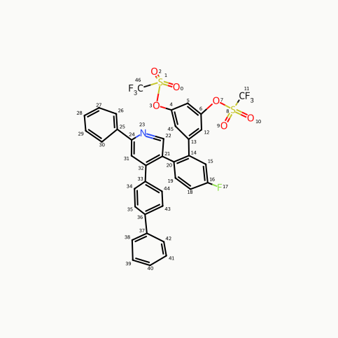 O=S(=O)(Oc1cc(OS(=O)(=O)C(F)(F)F)cc(-c2cc(F)ccc2-c2cnc(-c3ccccc3)cc2-c2ccc(-c3ccccc3)cc2)c1)C(F)(F)F